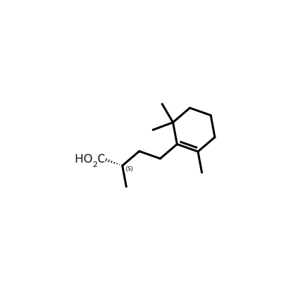 CC1=C(CC[C@H](C)C(=O)O)C(C)(C)CCC1